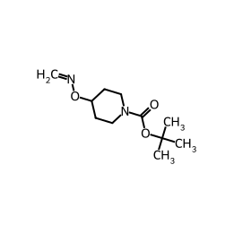 C=NOC1CCN(C(=O)OC(C)(C)C)CC1